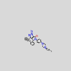 COc1ccccc1C1c2c(C(C)(C)C)n[nH]c2C(=O)N1c1ccc(N2CCN(C)CC2)cc1